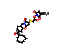 O=C(CSC1CC(=O)N(CC2CCC(C(=O)C3CCCCCCCC3)CC2)C1=O)ON1C(=O)CC(S(=O)(=O)O)C1=O